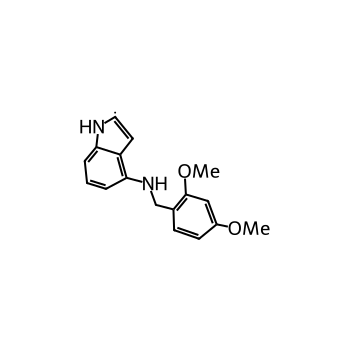 COc1ccc(CNc2cccc3[nH][c]cc23)c(OC)c1